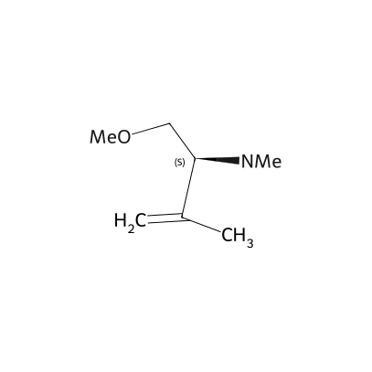 C=C(C)[C@@H](COC)NC